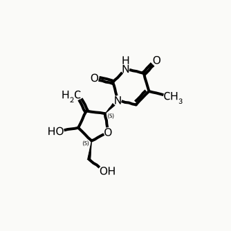 C=C1C(O)[C@H](CO)O[C@@H]1n1cc(C)c(=O)[nH]c1=O